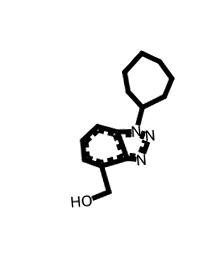 OCc1cccc2c1nnn2C1CCCCCC1